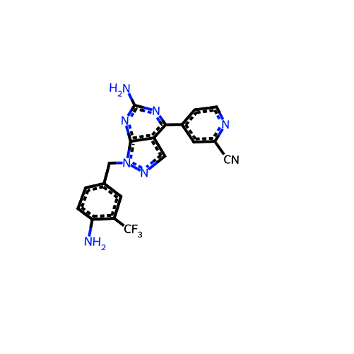 N#Cc1cc(-c2nc(N)nc3c2cnn3Cc2ccc(N)c(C(F)(F)F)c2)ccn1